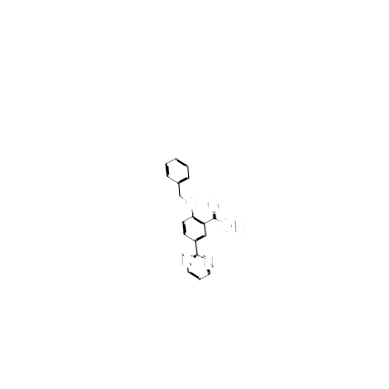 O=C(O)c1cc(-c2ncccn2)ccc1OCc1ccccc1